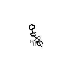 O=C(N[C@H]1CN2CCC1CC2)c1ccc(-c2ccccc2)s1